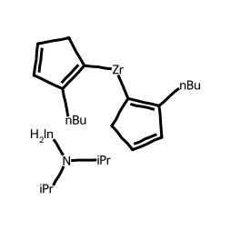 CC(C)[N]([InH2])C(C)C.CCCCC1=[C]([Zr][C]2=C(CCCC)C=CC2)CC=C1